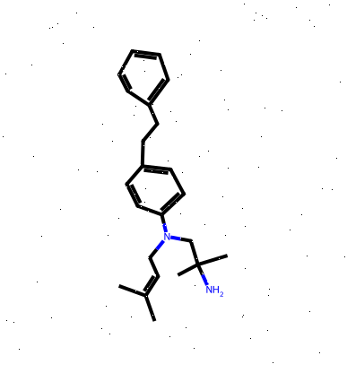 CC(C)=CCN(CC(C)(C)N)c1ccc(CCc2ccccc2)cc1